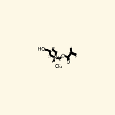 C=C(C)C(=O)OC[N+](C)(CC)CCO.[Cl-]